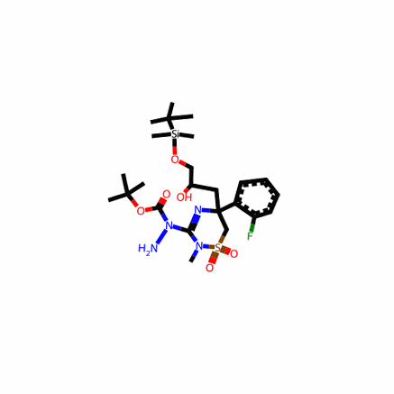 CN1C(N(N)C(=O)OC(C)(C)C)=NC(CC(O)CO[Si](C)(C)C(C)(C)C)(c2ccccc2F)CS1(=O)=O